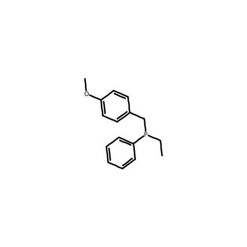 CCP(Cc1ccc(OC)cc1)c1ccccc1